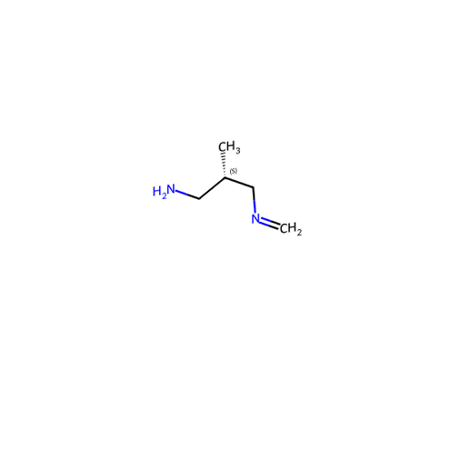 C=NC[C@@H](C)CN